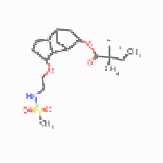 CCC(C)(C)C(=O)OC1CC2CC1C1C(OCCNS(C)(=O)=O)CCC21